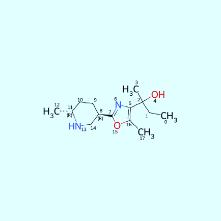 CCC(C)(O)c1nc([C@@H]2CC[C@@H](C)NC2)oc1C